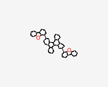 c1ccc2c(c1)oc1c(-c3ccc4c5ccccc5c5c6cc(-c7cccc8c7oc7ccccc78)ccc6c6ccccc6c5c4c3)cccc12